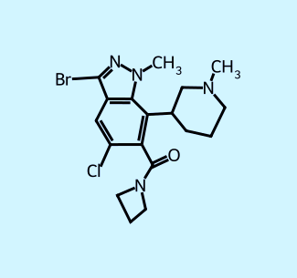 CN1CCCC(c2c(C(=O)N3CCC3)c(Cl)cc3c(Br)nn(C)c23)C1